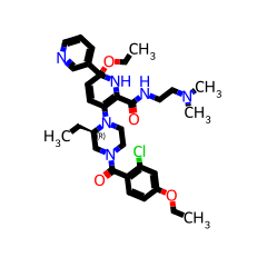 CCOc1ccc(C(=O)N2CCN(C3=C(C(=O)NCCN(C)C)NC(OCC)(c4cccnc4)C=C3)[C@H](CC)C2)c(Cl)c1